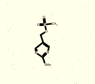 CSc1ncc(COS(C)(=O)=O)cn1